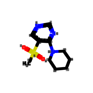 CS(=O)(=O)c1cn[c]nc1N1CCCCC1